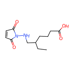 CCC(CCCC(=O)O)CNN1C(=O)C=CC1=O